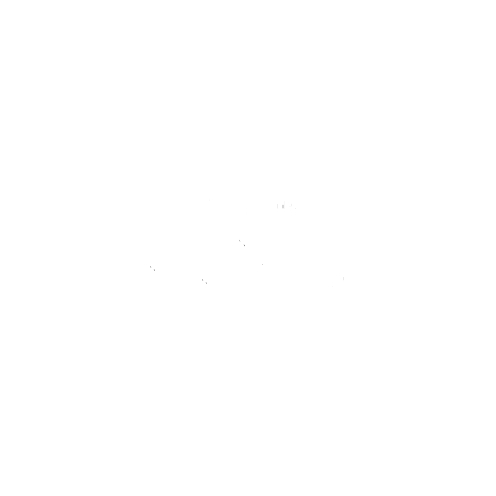 CCCCON(C(=O)CC(=O)OCC)c1ncncc1C(=O)OCC